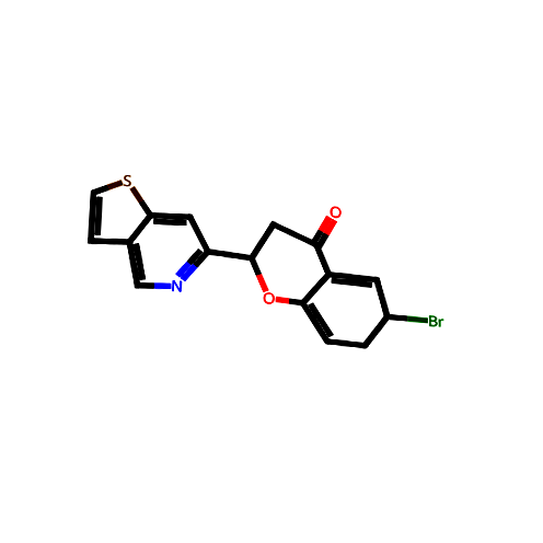 O=C1CC(c2cc3sccc3cn2)OC2=CCC(Br)C=C12